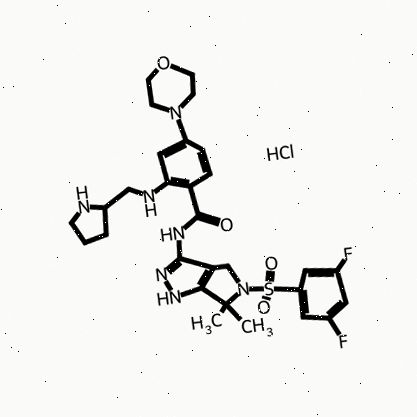 CC1(C)c2[nH]nc(NC(=O)c3ccc(N4CCOCC4)cc3NCC3CCCN3)c2CN1S(=O)(=O)c1cc(F)cc(F)c1.Cl